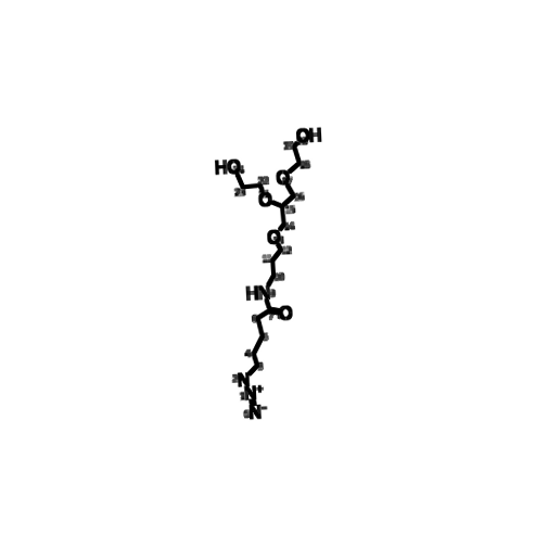 [N-]=[N+]=NCCCCC(=O)NCCCOCC(COCCO)OCCO